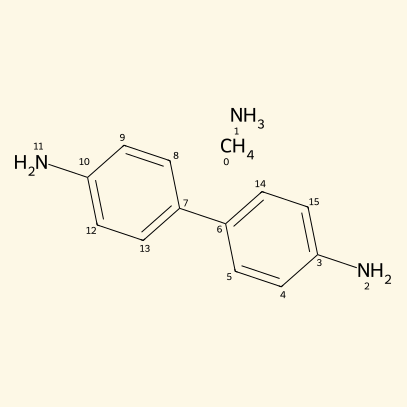 C.N.Nc1ccc(-c2ccc(N)cc2)cc1